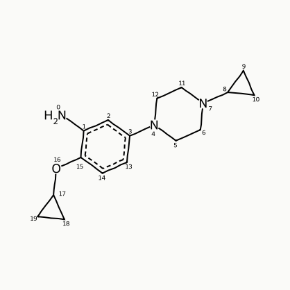 Nc1cc(N2CCN(C3CC3)CC2)ccc1OC1CC1